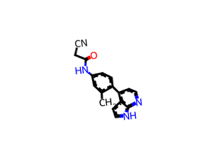 Cc1cc(NC(=O)CC#N)ccc1-c1ccnc2[nH]ccc12